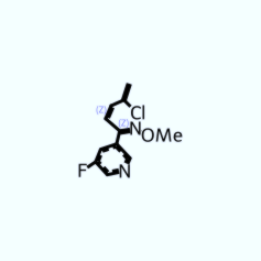 C=C(Cl)/C=C\C(=N\OC)c1cncc(F)c1